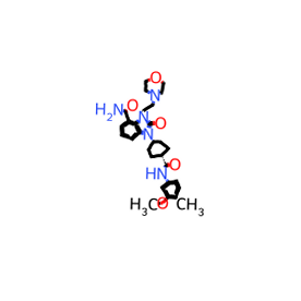 COc1cc(NC(=O)[C@H]2CC[C@@H](n3c(=O)n(CCN4CCOCC4)c4c(C(N)=O)cccc43)CC2)ccc1C